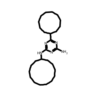 Nc1nc(NC2CCCCCCCCCCCC2)nc(C2CCCCCCCCCC2)n1